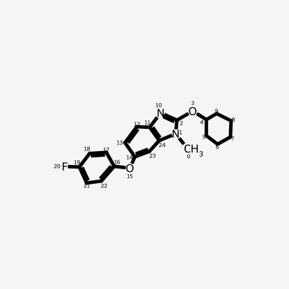 Cn1c(OC2CCCCC2)nc2ccc(Oc3ccc(F)cc3)cc21